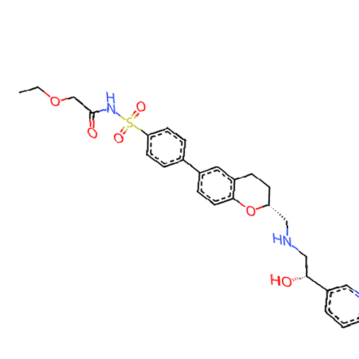 CCOCC(=O)NS(=O)(=O)c1ccc(-c2ccc3c(c2)CC[C@H](CNC[C@@H](O)c2cccnc2)O3)cc1